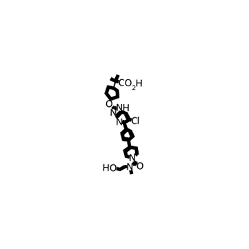 CN(CCO)C(=O)N1CC=C(c2ccc(-c3nc4nc(O[C@H]5CC[C@H](C(C)(C)C(=O)O)CC5)[nH]c4cc3Cl)cc2)CC1